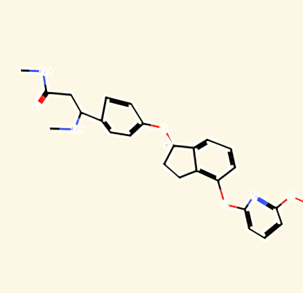 CNC(=O)CC(NC)c1ccc(O[C@@H]2CCc3c(Oc4cccc(OC)n4)cccc32)cc1